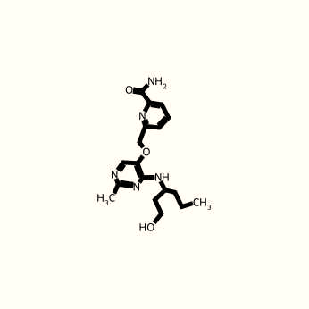 CCCC(CCO)Nc1nc(C)ncc1OCc1cccc(C(N)=O)n1